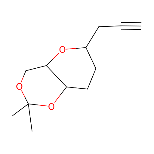 C#CCC1CCC2OC(C)(C)OCC2O1